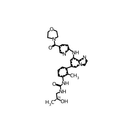 Cc1c(NC(=O)NC[C@H](C)O)cccc1-c1cc(Nc2ccc(C(=O)N3CCOCC3)cn2)c2nccn2c1